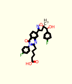 C[C@]1([C@@H](O)c2ccc(F)cc2)CC(c2ccc3c(=O)n(-c4ccc(F)cc4)c(CCCCC(=O)O)nc3c2)=NO1